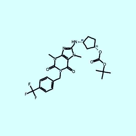 Cn1c(N[C@@H]2CC[C@H](OC(=O)OC(C)(C)C)C2)nc2c1c(=O)n(Cc1ccc(C(F)(F)F)cc1)c(=O)n2C